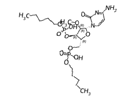 CCCCCOP(=O)(O)OC[C@H]1O[C@@H](n2ccc(N)nc2=O)[C@H](OC)[C@@H]1OP(=O)(O)OCCCCC